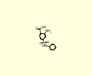 Nc1cc(S(=O)(=O)Nc2ccccc2)ccc1C(=O)O